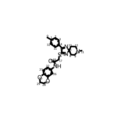 Cc1ccc(C2=NC3(CCN(C)CC3)N=C2SCC(=O)Nc2ccc3c(c2)OCCO3)cc1